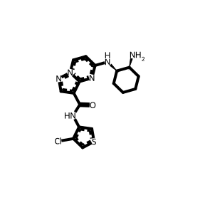 N[C@H]1CCCC[C@H]1Nc1ccn2ncc(C(=O)Nc3cscc3Cl)c2n1